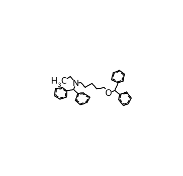 CCN(CCCCCOC(c1ccccc1)c1ccccc1)C(c1ccccc1)c1ccccc1